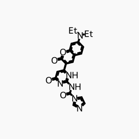 CCN(CC)c1ccc2cc(-c3cc(=O)nc(NC(=O)n4ccnc4)[nH]3)c(=O)oc2c1